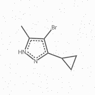 Cc1[nH]nc(C2CC2)c1Br